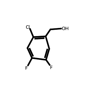 OCc1cc(F)c(F)cc1Cl